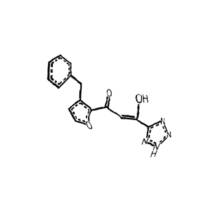 O=C(C=C(O)c1nn[nH]n1)c1occc1Cc1ccccc1